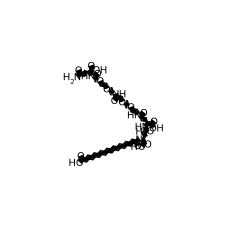 NC(=O)CC[C@H](NC(=O)COCCOCCNC(=O)COCCOCCNC(=O)CC[C@H](NC(=O)CC[C@H](NC(=O)CCCCCCCCCCCCCCCCC(=O)O)C(=O)O)C(=O)O)C(=O)O